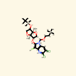 CC(C)(C)[Si](C)(C)OC1CO[C@H]2[C@@H]1OC[C@H]2Oc1c(F)c2nc(Cl)c(Cl)cc2n1COCC[Si](C)(C)C